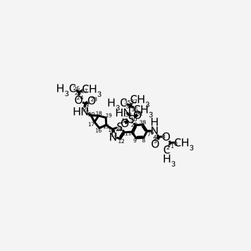 CC(C)OC(=O)Nc1ccc(-c2cnc(C3CC4C(C3)C4NC(=O)OC(C)C)s2)c(S(=O)(=O)NC(C)(C)C)c1